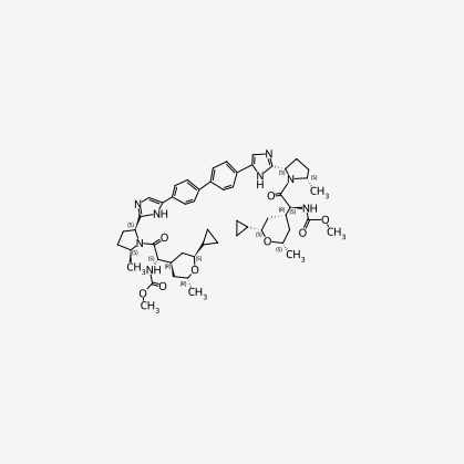 COC(=O)N[C@H](C(=O)N1[C@@H](C)CC[C@H]1c1ncc(-c2ccc(-c3ccc(-c4cnc([C@@H]5CC[C@H](C)N5C(=O)[C@@H](NC(=O)OC)[C@H]5C[C@@H](C6CC6)O[C@@H](C)C5)[nH]4)cc3)cc2)[nH]1)[C@@H]1C[C@@H](C)O[C@H](C2CC2)C1